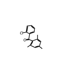 Cc1cc(C)c(C(=O)c2ccccc2Cl)c(C)c1